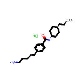 Cl.NCCCCCc1ccc(C(=O)N[C@H]2CC[C@H](CCC(=O)O)CC2)cc1